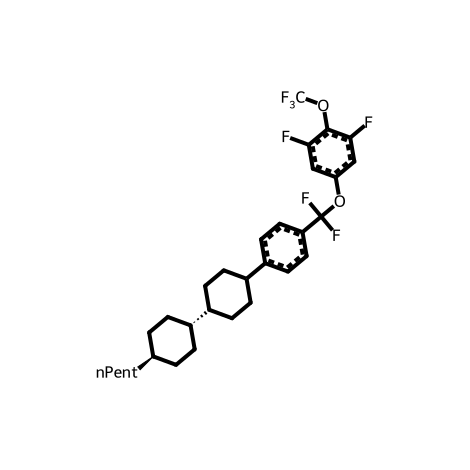 CCCCC[C@H]1CC[C@H](C2CCC(c3ccc(C(F)(F)Oc4cc(F)c(OC(F)(F)F)c(F)c4)cc3)CC2)CC1